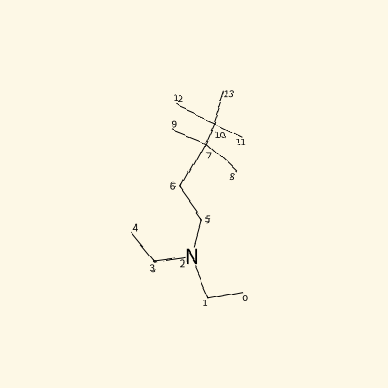 CCN(CC)CCC(C)(C)C(C)(C)C